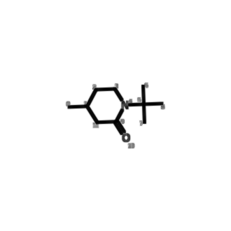 CC1CCN(C(C)(C)C)C(=O)C1